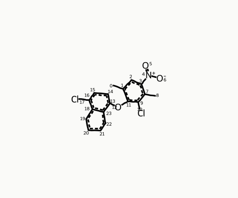 Cc1cc([N+](=O)[O-])c(C)c(Cl)c1Oc1ccc(Cl)c2ccccc12